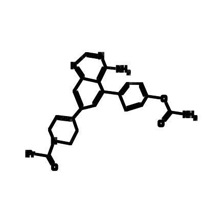 CC(C)C(=O)N1CC=C(c2cc(-c3ccc(OC(N)=O)cc3)c3c(N)ncnc3c2)CC1